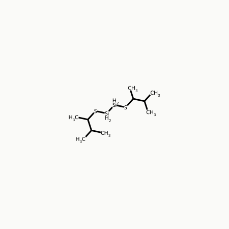 CC(C)C(C)S[SiH2][SiH2]SC(C)C(C)C